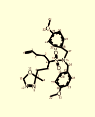 C=CCCC(CCC1(C)N=NCO1)S(=O)(=O)N(Cc1ccc(OC)cc1)Cc1ccc(OC)cc1